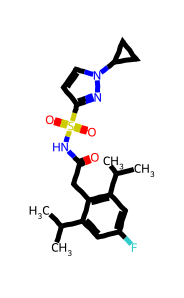 CC(C)c1cc(F)cc(C(C)C)c1CC(=O)NS(=O)(=O)c1ccn(C2CC2)n1